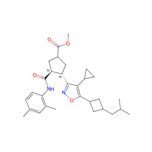 COC(=O)C1C[C@H](C(=O)Nc2ccc(C)cc2C)[C@@H](c2noc(C3CC(CC(C)C)C3)c2C2CC2)C1